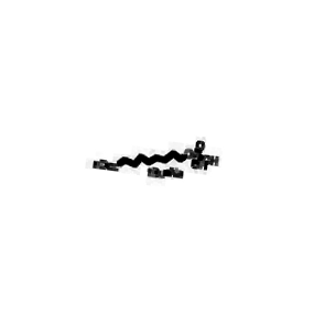 CCCCCCCCCCCCCCCCCCOP(=O)(O)O.C[C](C)(C)[Na]